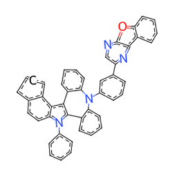 c1ccc(-n2c3c(c4c5ccccc5ccc42)-c2ccccc2N(c2cccc(-c4cnc5oc6ccccc6c5n4)c2)c2ccccc2-3)cc1